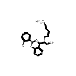 O=C(O)CC/C=C\C[C@H](CO)C1O[C@H](c2ccccc2Cl)Oc2ccccc21